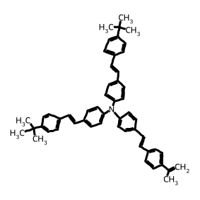 C=C(C)c1ccc(/C=C/c2ccc(N(c3ccc(/C=C/c4ccc(C(C)(C)C)cc4)cc3)c3ccc(/C=C/c4ccc(C(C)(C)C)cc4)cc3)cc2)cc1